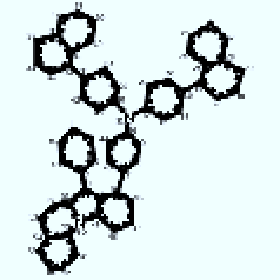 c1ccc(-c2c3c(-c4ccc(N(c5ccc(-c6cccc7ccccc67)cc5)c5ccc(-c6cccc7ccccc67)cc5)cc4)cccc3n3c2ccc2ccccc23)cc1